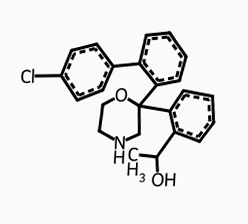 CC(O)c1ccccc1C1(c2ccccc2-c2ccc(Cl)cc2)CNCCO1